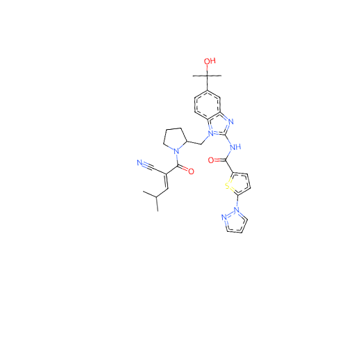 CC(C)C=C(C#N)C(=O)N1CCCC1Cn1c(NC(=O)c2ccc(-n3cccn3)s2)nc2cc(C(C)(C)O)ccc21